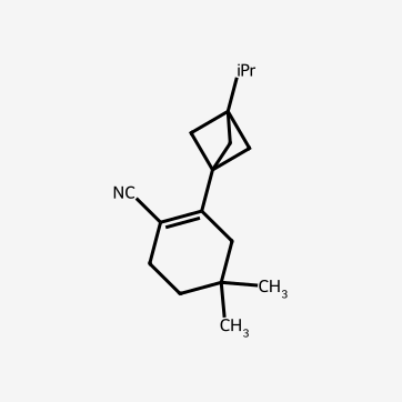 CC(C)C12CC(C3=C(C#N)CCC(C)(C)C3)(C1)C2